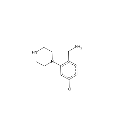 NCc1ccc(Cl)cc1N1CCNCC1